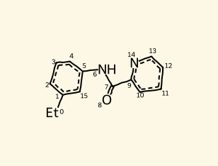 CCc1cccc(NC(=O)c2ccccn2)c1